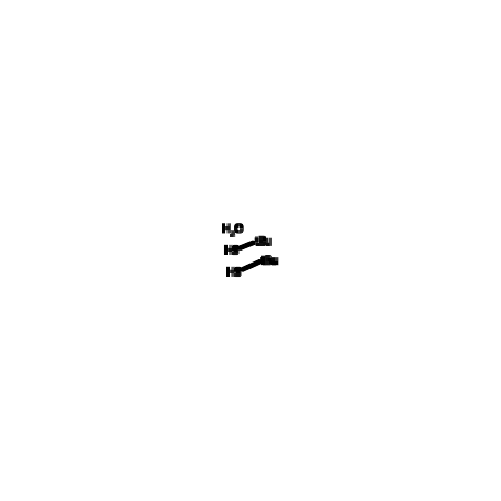 CC(C)(C)S.CC(C)(C)S.O